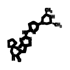 C[C@@H]1CN(c2ccc(Nc3ncc4cc5n(c4n3)C3(CCCC3)CNC5=O)nc2)C[C@H](C)N1